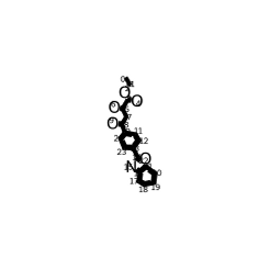 CCOC(=O)C(=O)CC(=O)c1ccc(-c2nc3ccccc3o2)cc1